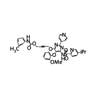 COc1ccccc1Oc1c(NS(=O)(=O)c2ccc(C(C)C)cn2)nc(-c2ccncc2)nc1OCC#CCOC(=O)Nc1cccc(C)c1